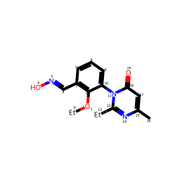 CCOc1c(C=NO)cccc1-n1c(CC)nc(C)cc1=O